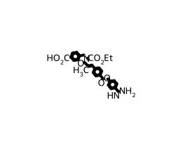 CCOC(=O)N(Cc1ccc(C(=O)O)cc1)C(=O)C(C)=Cc1ccc(C(=O)Oc2ccc(C(=N)N)cc2)cc1